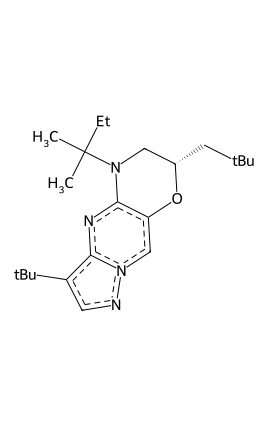 CCC(C)(C)N1C[C@H](CC(C)(C)C)Oc2cn3ncc(C(C)(C)C)c3nc21